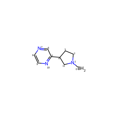 BN1CCC(c2cnccn2)C1